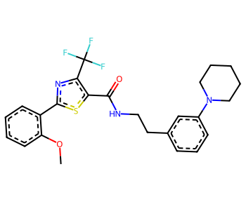 COc1ccccc1-c1nc(C(F)(F)F)c(C(=O)NCCc2cccc(N3CCCCC3)c2)s1